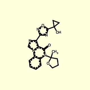 CC1(n2c(=O)c3c(-c4noc(C5(O)CC5)n4)ncn3c3ccccc32)CCCO1